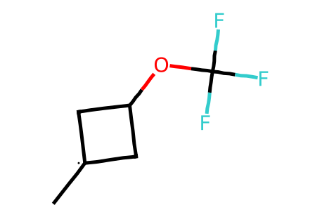 C[C]1CC(OC(F)(F)F)C1